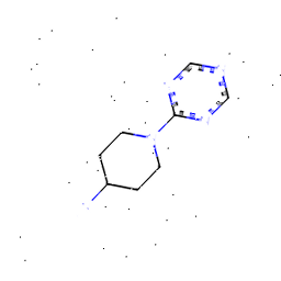 NC1CCN(c2ncncn2)CC1